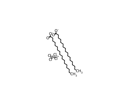 CCCCCCCCCCCCCCCCCC(=O)[O-].CCCCCCCCCCCCCCCCCC(=O)[O-].[Cl][Mo+2]([Cl])([Cl])[Cl]